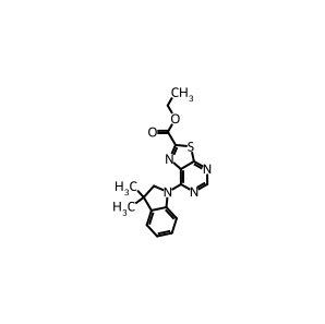 CCOC(=O)c1nc2c(N3CC(C)(C)c4ccccc43)ncnc2s1